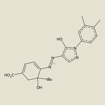 Cc1ccc(-n2ncc(/N=N/C3=CC=C(C(=O)O)CC3(O)C(C)(C)C)c2O)cc1C